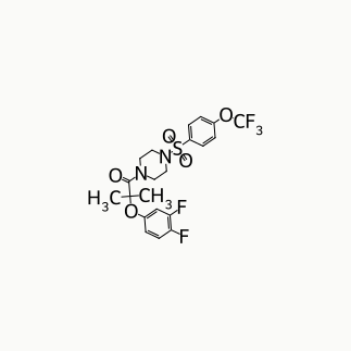 CC(C)(Oc1ccc(F)c(F)c1)C(=O)N1CCN(S(=O)(=O)c2ccc(OC(F)(F)F)cc2)CC1